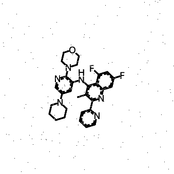 Cc1c(-c2ccccn2)nc2cc(F)cc(F)c2c1Nc1cc(N2CCCCC2)cnc1N1CCOCC1